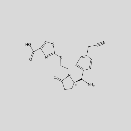 N#CCc1ccc(C(N)[C@H]2CCC(=O)N2CCSc2nc(C(=O)O)cs2)cc1